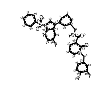 O=C(NCc1cccc(-c2cn(S(=O)(=O)c3ccccc3)c3ncc(F)cc23)c1)c1cccn(Cc2ccc(F)c(F)c2)c1=O